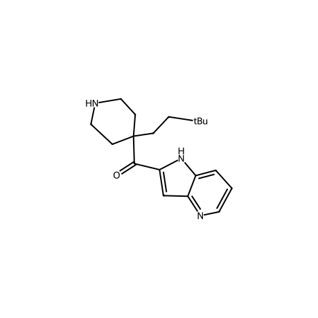 CC(C)(C)CCC1(C(=O)c2cc3ncccc3[nH]2)CCNCC1